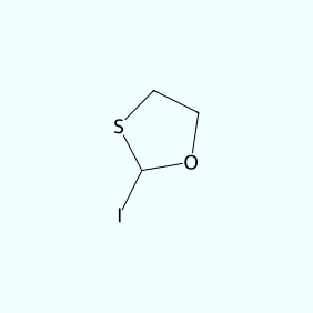 IC1OCCS1